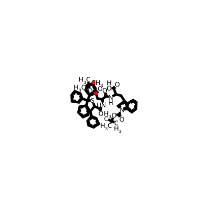 CC(C)(C)OC(=O)CC(NC(=O)C(Cc1ccccc1)SC(c1ccccc1)(c1ccccc1)c1ccccc1)C(=O)NC(Cc1cn(C(=O)OC(C)(C)C)c2ccccc12)C(=O)O